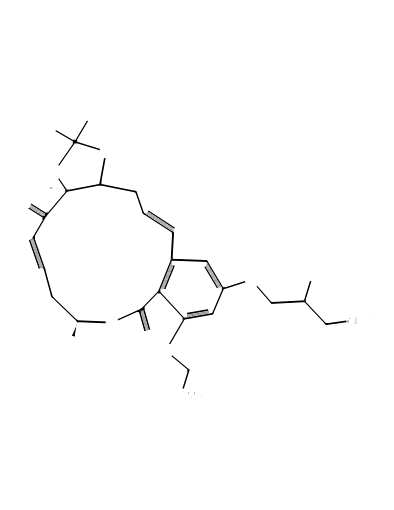 COCOc1cc(OCC(O)CNC(C)=O)cc2c1C(=O)O[C@@H](C)[C@H](C)/C=C\C(=O)[C@H]1OC(C)(C)O[C@H]1C/C=C/2